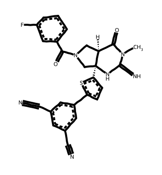 CN1C(=N)N[C@@]2(c3ccc(-c4cc(C#N)cc(C#N)c4)s3)CN(C(=O)c3cccc(F)c3)C[C@H]2C1=O